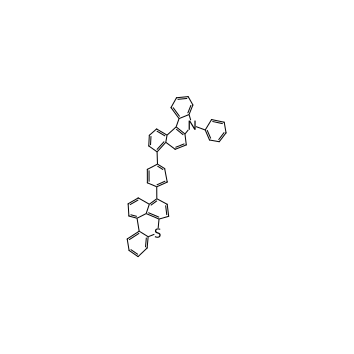 c1ccc(-n2c3ccccc3c3c4cccc(-c5ccc(-c6ccc7c8c(cccc68)-c6ccccc6S7)cc5)c4ccc32)cc1